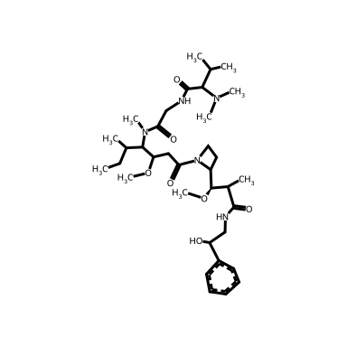 CCC(C)C(C(CC(=O)N1CCC1[C@H](OC)C(C)C(=O)NCC(O)c1ccccc1)OC)N(C)C(=O)CNC(=O)C(C(C)C)N(C)C